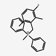 Cc1ccc(F)c(C)c1C[PH](C)(c1ccccc1)c1ccccc1